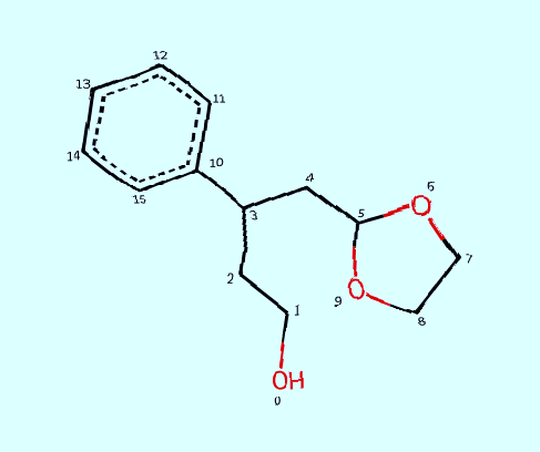 OCCC(CC1OCCO1)c1ccccc1